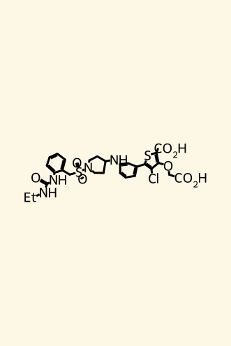 CCNC(=O)Nc1ccccc1CS(=O)(=O)N1CCC(Nc2cccc(-c3sc(C(=O)O)c(OCC(=O)O)c3Cl)c2)CC1